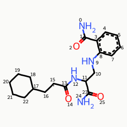 NC(=O)c1ccccc1NCC(NC(=O)[CH]CC1CCCCC1)C(N)=O